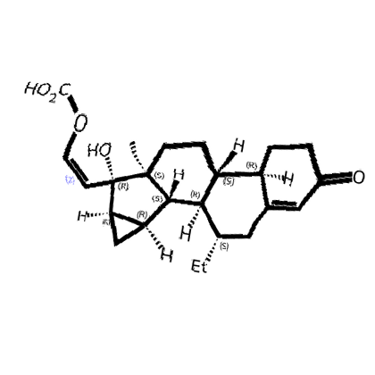 CC[C@H]1CC2=CC(=O)CC[C@@H]2[C@H]2CC[C@@]3(C)[C@@H]([C@H]4C[C@H]4[C@@]3(O)/C=C\OC(=O)O)[C@H]12